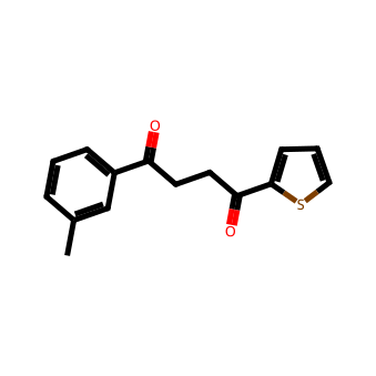 Cc1cccc(C(=O)CCC(=O)c2cccs2)c1